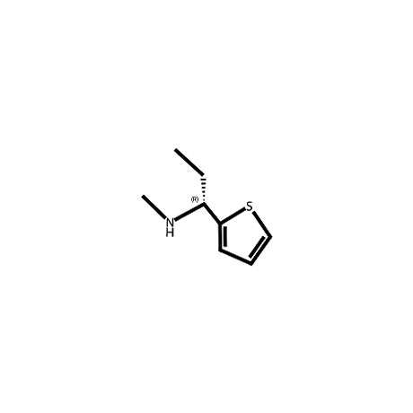 CC[C@@H](NC)c1cccs1